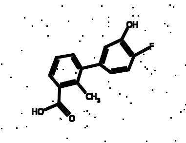 Cc1c(C(=O)O)cccc1-c1ccc(F)c(O)c1